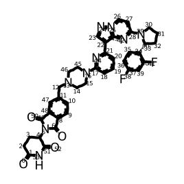 O=C1CCC(N2C(=O)c3ccc(CN4CCN(c5cccc(-c6cnn7ccc(N8CCC[C@@H]8c8ccc(F)cc8F)nc67)n5)CC4)cc3C2=O)C(=O)N1